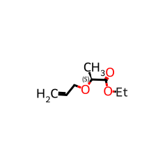 C=CCO[C@@H](C)C(=O)OCC